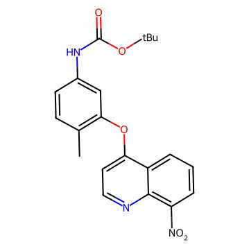 Cc1ccc(NC(=O)OC(C)(C)C)cc1Oc1ccnc2c([N+](=O)[O-])cccc12